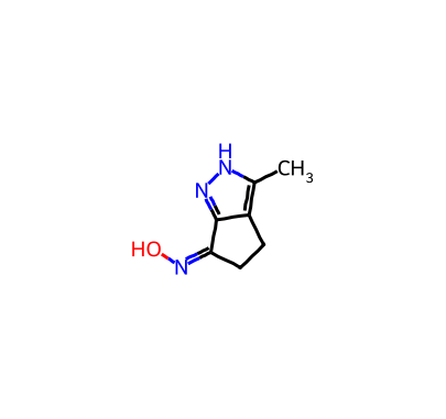 Cc1[nH]nc2c1CCC2=NO